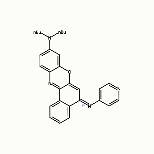 CCCCN(CCCC)c1ccc2nc3c4ccccc4/c(=N/c4ccncc4)cc-3oc2c1